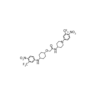 O=C(COC1CCC(Nc2ccc([N+](=O)[O-])c(C(F)(F)F)c2)CC1)NC1CCN(c2ccc([N+](=O)[O-])c(C(F)(F)F)c2)CC1